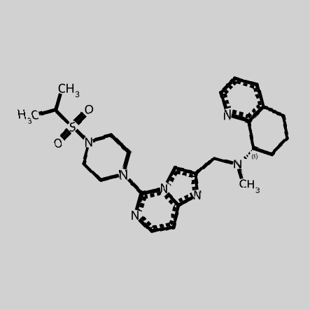 CC(C)S(=O)(=O)N1CCN(c2nccc3nc(CN(C)[C@H]4CCCc5cccnc54)cn23)CC1